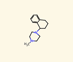 CN1CCN(C2CCCc3ccccc32)CC1